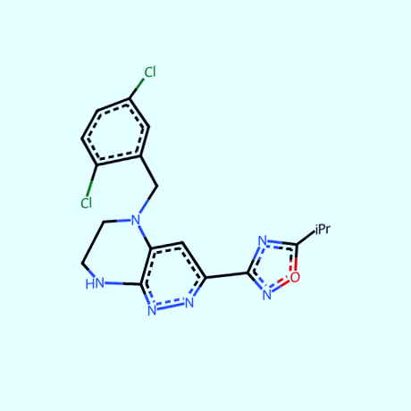 CC(C)c1nc(-c2cc3c(nn2)NCCN3Cc2cc(Cl)ccc2Cl)no1